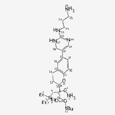 CC[Si](CC)(CC)CC(ON)(C(=O)OC(C)(C)C)[C@H]1CCc2cc(C3=CN=C(NCCCN)NC3)ccc2O1